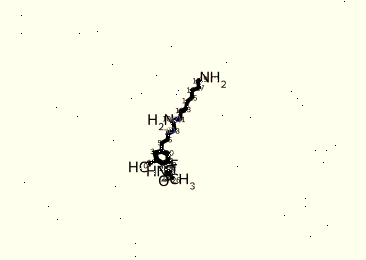 C#Cc1cc(CC/C=C/C(N)=C/C=CCCCCCN)cc(F)c1NS(C)(=O)=O